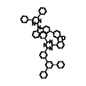 c1ccc(-c2cc(-c3ccccc3)cc(-c3cccc(-c4nc(-c5ccccc5)nc(-c5cccc6oc7ccc(-c8ccc9c(c8)c8ccccc8n9-c8nc(-c9ccccc9)cc(-c9ccccc9)n8)cc7c56)n4)c3)c2)cc1